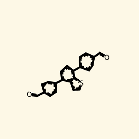 O=Cc1ccc(-c2ccc(-c3ccc(C=O)cc3)c3sccc23)cc1